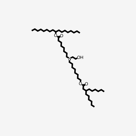 CCCCCCCCC(CCCCCCCC)OC(=O)CCCCCCCN(CCO)CCCCCCCCOC(=O)CC(CCCCCC)CCCCCC